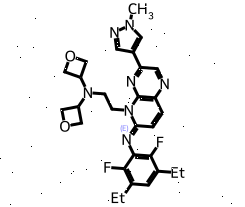 CCc1cc(CC)c(F)c(/N=c2\ccc3ncc(-c4cnn(C)c4)nc3n2CCN(C2COC2)C2COC2)c1F